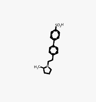 CC1CCCN1CCc1ccc(-c2ccc(S(=O)(=O)O)cc2)cc1